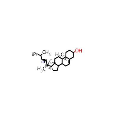 CC(C)C(C)/C=C/[C@@H](C)[C@H]1CCC2C3CC=C4CC(O)CC[C@]4(C)C3CC[C@@]21C